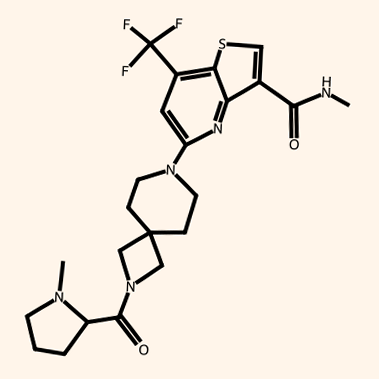 CNC(=O)c1csc2c(C(F)(F)F)cc(N3CCC4(CC3)CN(C(=O)C3CCCN3C)C4)nc12